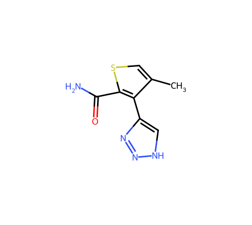 Cc1csc(C(N)=O)c1-c1c[nH]nn1